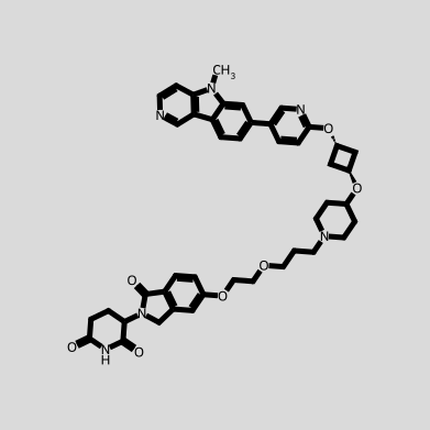 Cn1c2ccncc2c2ccc(-c3ccc(O[C@H]4C[C@H](OC5CCN(CCCOCCOc6ccc7c(c6)CN(C6CCC(=O)NC6=O)C7=O)CC5)C4)nc3)cc21